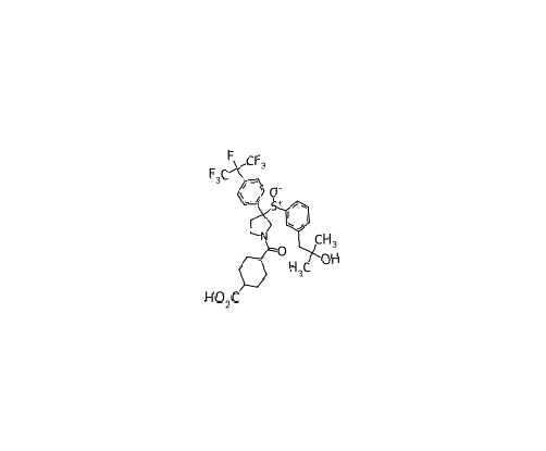 CC(C)(O)Cc1cccc([S+]([O-])C2(c3ccc(C(F)(C(F)(F)F)C(F)(F)F)cc3)CCN(C(=O)C3CCC(C(=O)O)CC3)C2)c1